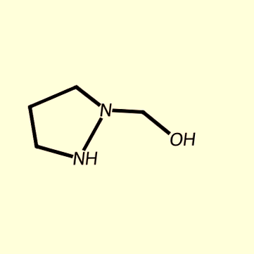 OCN1CCCN1